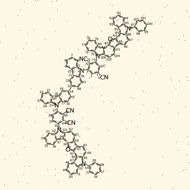 N#Cc1cc(-n2c3ccccc3c3cc(-c4ccc5c(c4)c4ccccc4n5-c4ccc(-n5c6ccccc6c6c7oc8c(ccc9c8c8ccccc8n9-c8ccccc8)c7ccc65)c(C#N)c4C#N)ccc32)c(C#N)c(-n2c3ccccc3c3c4oc5c(ccc6c5c5ccccc5n6-c5ccccc5)c4ccc32)c1